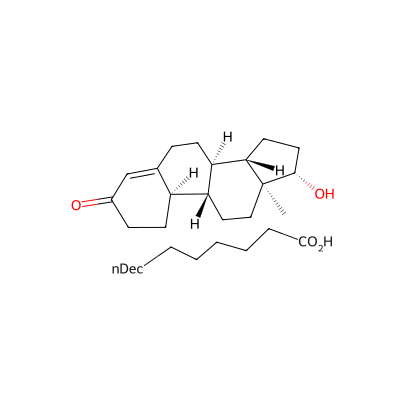 CCCCCCCCCCCCCCCC(=O)O.C[C@]12CC[C@H]3[C@@H](CCC4=CC(=O)CC[C@@H]43)[C@@H]1CC[C@@H]2O